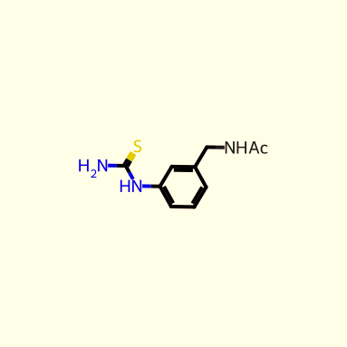 CC(=O)NCc1cccc(NC(N)=S)c1